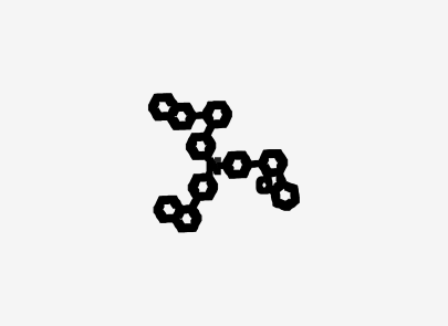 c1cc(-c2ccccc2-c2ccc3ccccc3c2)cc(N(c2ccc(-c3cccc4ccccc34)cc2)c2ccc(-c3cccc4c3oc3ccccc34)cc2)c1